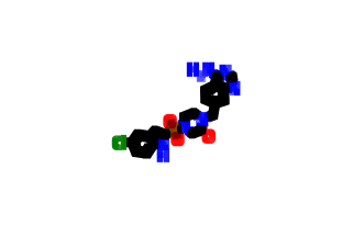 Nc1ncnc2cc(CN3CCN(S(=O)(=O)c4cc5cc(Cl)ccc5[nH]4)CC3=O)ccc12